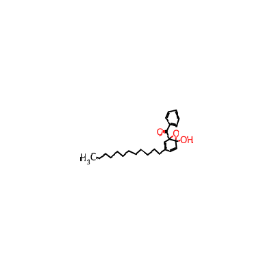 CCCCCCCCCCCCC1=CC2(C(=O)c3ccccc3)OC2(O)C=C1